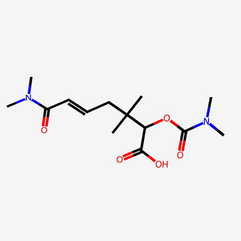 CN(C)C(=O)/C=C/CC(C)(C)C(OC(=O)N(C)C)C(=O)O